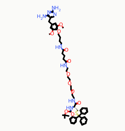 COc1cc(Cc2cnc(N)nc2N)cc(OC)c1OCCCCNC(=O)CCCC(=O)NCCOCCOCCOCCNC(=O)[C@H](CSC(c1ccccc1)(c1ccccc1)c1ccccc1)NC(=O)OC(C)(C)C